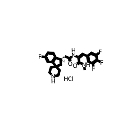 CNC(=O)C(=Cc1cc(F)c(F)c(F)c1)NC(=O)C[C@@H]1CC2(CCNCC2)c2cc(F)ccc21.Cl